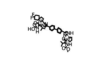 COC(=O)N[C@H](C(=O)N1CCC[C@H]1c1nc(-c2ccc(-c3ccc(-c4c[nH]c(C5CCC6(CCC(F)(F)CC6)N5C(=O)[C@H](CC(C)C)NC(=O)O)n4)cc3)cc2)c[nH]1)C(C)C